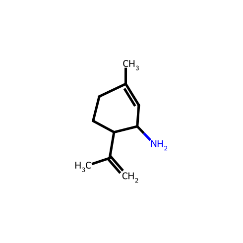 C=C(C)C1CCC(C)=CC1N